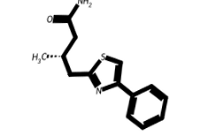 C[C@@H]([CH]c1nc(-c2ccccc2)cs1)CC(N)=O